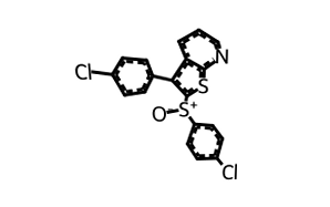 [O-][S+](c1ccc(Cl)cc1)c1sc2ncccc2c1-c1ccc(Cl)cc1